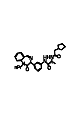 CCCN1C(=O)C(c2cccc(NC(=O)[C@H](C)NC(=O)CC3CCCC3)c2)N=Cc2ccccc21